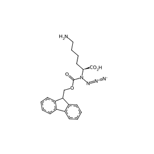 [N-]=[N+]=NN(C(=O)OCC1c2ccccc2-c2ccccc21)[C@@H](CCCCN)C(=O)O